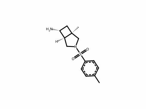 Cc1ccc(S(=O)(=O)N2C[C@H]3[C@H](N)C[C@@]3(C)C2)cc1